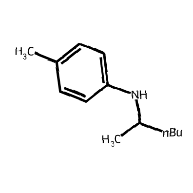 C[CH]CCC(C)Nc1ccc(C)cc1